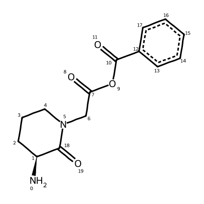 N[C@H]1CCCN(CC(=O)OC(=O)c2ccccc2)C1=O